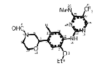 CCOc1cc(C2CN(C=O)CCO2)c(C)cc1Nc1ncc(C(F)(F)F)c(NC)n1